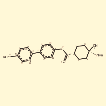 CCCCCCCCC[C@]1(C#N)CC[C@H](C(=O)Oc2ccc(-c3ccc(CCCCCCCC)cn3)cc2)CC1